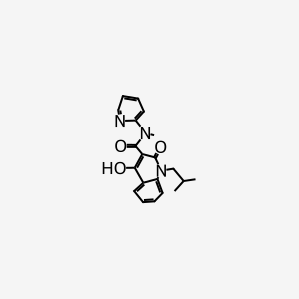 CC(C)Cn1c(=O)c(C(=O)N(C)c2ccccn2)c(O)c2ccccc21